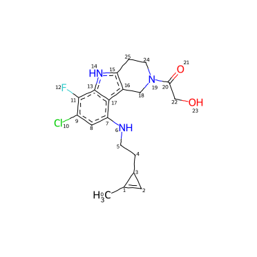 CC1=CC1CCNc1cc(Cl)c(F)c2[nH]c3c(c12)CN(C(=O)CO)CC3